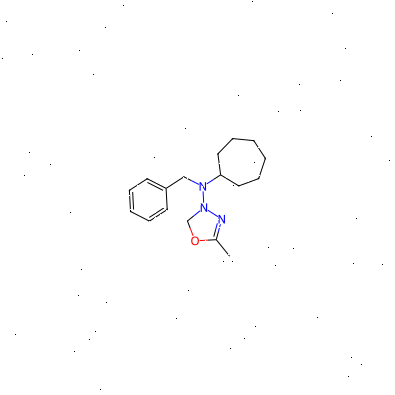 CC1=NN(N(Cc2ccccc2)C2CCCCCC2)CO1